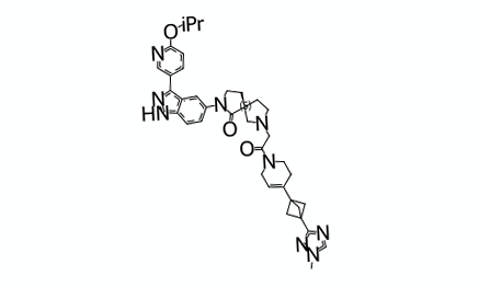 CC(C)Oc1ccc(-c2n[nH]c3ccc(N4CC[C@]5(CCN(CC(=O)N6CC=C(C78CC(c9ncn(C)n9)(C7)C8)CC6)C5)C4=O)cc23)cn1